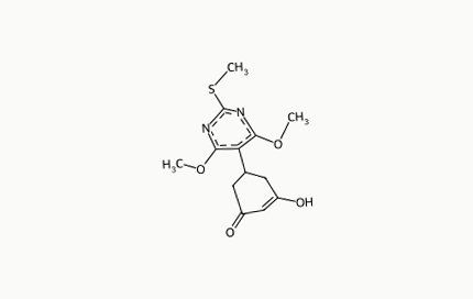 COc1nc(SC)nc(OC)c1C1CC(=O)C=C(O)C1